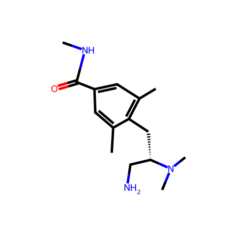 CNC(=O)c1cc(C)c(C[C@@H](CN)N(C)C)c(C)c1